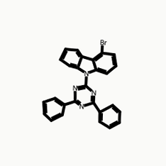 Brc1cccc2c1c1ccccc1n2-c1nc(-c2ccccc2)nc(-c2ccccc2)n1